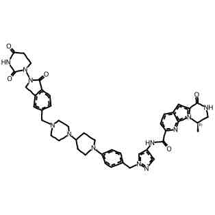 C[C@@H]1CNC(=O)c2cc3ccc(C(=O)Nc4cnn(Cc5ccc(N6CCC(N7CCN(Cc8ccc9c(c8)CN(N8CCC(=O)NC8=O)C9=O)CC7)CC6)cc5)c4)nc3n21